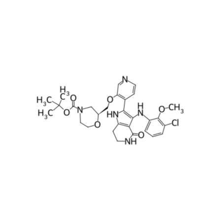 COc1c(Cl)cccc1Nc1c(-c2ccncc2OC[C@@H]2CN(C(=O)OC(C)(C)C)CCO2)[nH]c2c1C(=O)NCC2